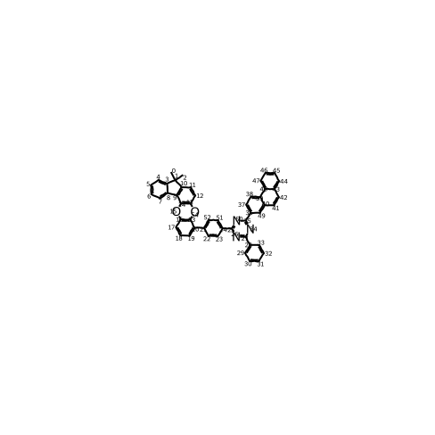 CC1(C)c2ccccc2-c2c1ccc1c2Oc2cccc(-c3ccc(-c4nc(-c5ccccc5)nc(-c5ccc6c(ccc7ccccc76)c5)n4)cc3)c2O1